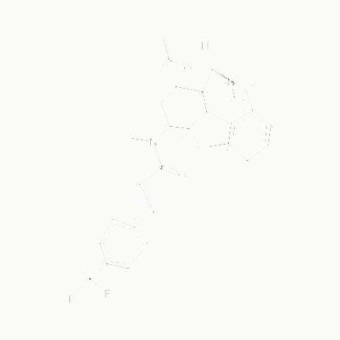 CC(=O)O[C@@]12CCC(N(C)C(=O)/C=C/c3ccc(C(F)(F)F)cc3)C3Oc4cccc5c4[C@@]31CCN(C)[C@@H]2C5